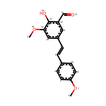 COc1ccc(C=Cc2cc(C=O)c(O)c(OC)c2)cc1